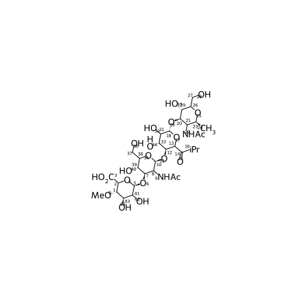 CO[C@@H]1C(C(=O)O)O[C@@H](O[C@@H]2C(NC(C)=O)[C@H](O[C@@H]3C(C(=O)C(C)C)O[C@@H](O[C@@H]4C(NC(C)=O)[C@H](C)OC(CO)[C@H]4O)C(O)[C@H]3O)OC(CO)[C@H]2O)C(O)[C@H]1O